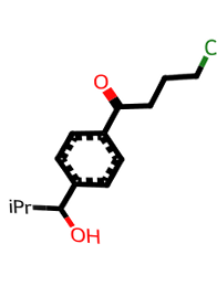 CC(C)C(O)c1ccc(C(=O)CCCCl)cc1